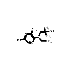 CCN(CC(C)(C)O)c1ncc(Br)nc1C